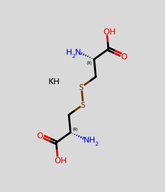 N[C@@H](CSSC[C@H](N)C(=O)O)C(=O)O.[KH]